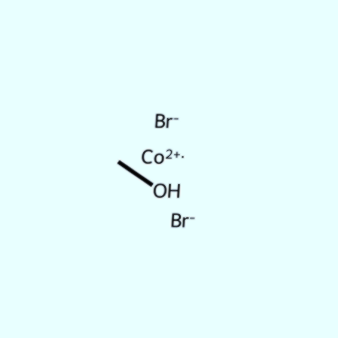 CO.[Br-].[Br-].[Co+2]